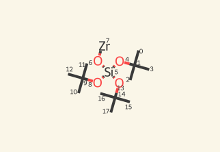 CC(C)(C)O[Si]([O][Zr])(OC(C)(C)C)OC(C)(C)C